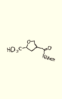 CNC(=O)C1COC(C(=O)O)C1